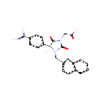 C[C@]1(c2ccc(C(=N)N)cc2)C(=O)N(CC(=O)O)C(=O)N1Cc1ccc2ccccc2c1